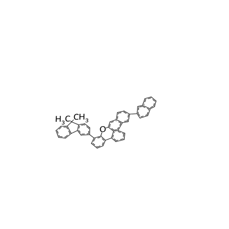 CC1(C)c2ccccc2-c2cc(-c3cccc4c3Oc3cc5ccc(-c6ccc7ccccc7c6)cc5c5cccc-4c35)ccc21